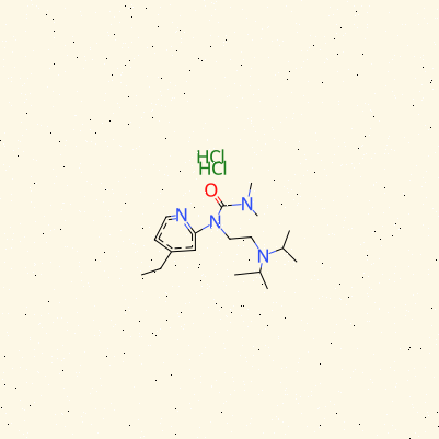 CCc1ccnc(N(CCN(C(C)C)C(C)C)C(=O)N(C)C)c1.Cl.Cl